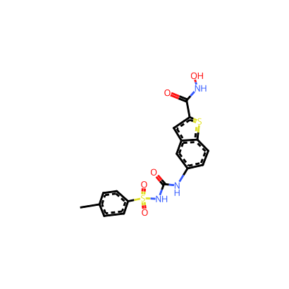 Cc1ccc(S(=O)(=O)NC(=O)Nc2ccc3sc(C(=O)NO)cc3c2)cc1